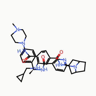 C[C@H](NC(=O)c1ccc(N2C3CCC2CC(NC(=O)c2ccc(C(N)=O)c(NCC4CC4)c2)C3)nc1)c1ccc(N2CCN(C)CC2)cc1